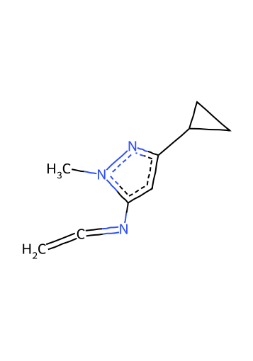 C=C=Nc1cc(C2CC2)nn1C